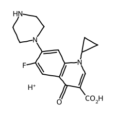 O=C(O)c1cn(C2CC2)c2cc(N3CCNCC3)c(F)cc2c1=O.[H+]